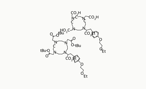 CCOCCOc1ccc(CC(C(=O)OCC)N2CCN(CC(=O)O)CCN(CC(=O)O)CCN(CC(=O)O)CC2)cc1.CCOCCOc1ccc(CC(C(=O)OCC)N2CCN(CC(=O)OC(C)(C)C)CCN(CC(=O)OC(C)(C)C)CCN(CC(=O)OC(C)(C)C)CC2)cc1